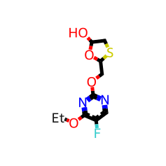 CCOc1nc(OCC2OC(O)CS2)ncc1F